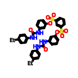 CCc1ccc(NC(=O)Nc2cccc(OS(=O)(=O)c3cccc(S(=O)(=O)Oc4cccc(NC(=O)Nc5ccc(CC)cc5)c4)c3)c2)cc1